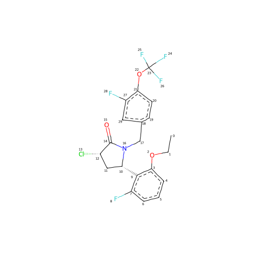 CCOc1cccc(F)c1[C@@H]1C[C@H](Cl)C(=O)N1Cc1ccc(OC(F)(F)F)c(F)c1